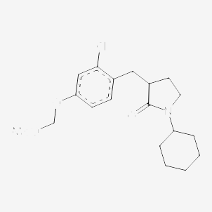 COCOc1ccc(CC2CCN(C3CCCCC3)C2=O)c(Cl)c1